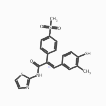 Cc1cc(/C=C(/C(=O)Nc2nccs2)c2ccc(S(C)(=O)=O)cc2)ccc1S